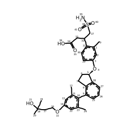 Cc1cc(O[C@@H]2CCc3c(-c4c(C)cc(OCCC(C)(C)O)cc4C)cccc32)ccc1C(CC(=O)O)CS(N)(=O)=O